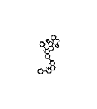 c1ccc(-c2ccc3ccc4ccc(-c5ccc6nc(-c7ccccc7)c7c8c(ccc7c6c5)C5(c6ccccc6Oc6ccccc65)c5ccccc5-8)nc4c3n2)cc1